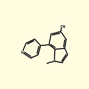 Cn1ccc2cc(C#N)cc(-c3ccncc3)c21